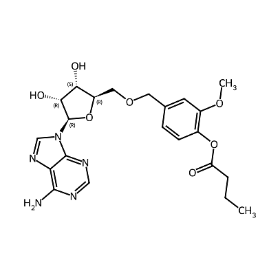 CCCC(=O)Oc1ccc(COC[C@H]2O[C@@H](n3cnc4c(N)ncnc43)[C@H](O)[C@@H]2O)cc1OC